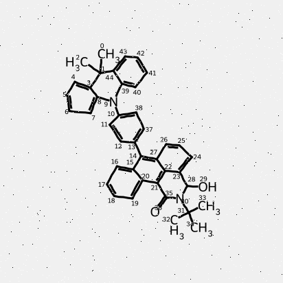 CC1(C)c2ccccc2N(c2ccc(-c3c4ccccc4c4c5c(cccc35)C(O)N(C(C)(C)C)C4=O)cc2)c2ccccc21